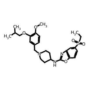 CCS(=O)(=O)c1ccc2oc(NC3CCN(Cc4ccc(OC)c(OCC(C)C)c4)CC3)nc2c1